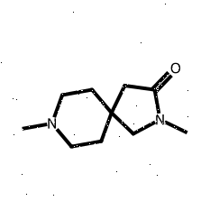 CN1CCC2(CC1)CC(=O)N(C)C2